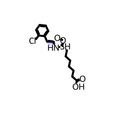 O=C(O)CCCCCC[SH]1N/C(=C/c2ccccc2Cl)OO1